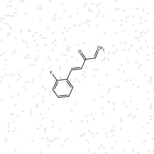 C=CC(=O)C=Cc1ccccc1F